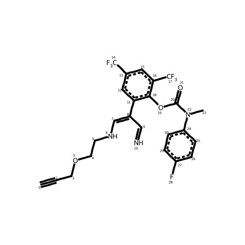 C#CCOCCN/C=C(\C=N)c1cc(C(F)(F)F)cc(C(F)(F)F)c1OC(=O)N(C)c1ccc(F)cc1